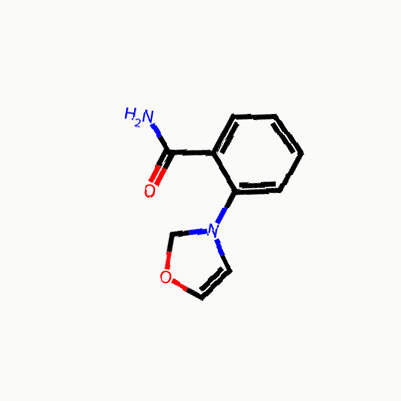 NC(=O)c1ccccc1N1C=COC1